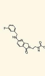 CC(=O)NCCN1Cc2nc(NCc3cccc(F)c3)ccc2C1=O